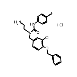 Cl.NCCN(Cc1ccc(OCc2ccccc2)c(Cl)c1)C(=O)Nc1ccc(F)cc1